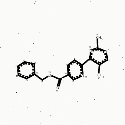 Cc1ncc(C)c(-c2ccc(C(=O)OCc3ccccc3)cn2)n1